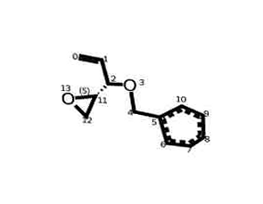 C=CC(OCc1ccccc1)[C@@H]1CO1